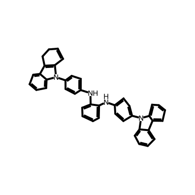 C1=Cc2c(c3ccccc3n2-c2ccc(Nc3ccccc3Nc3ccc(-n4c5ccccc5c5ccccc54)cc3)cc2)CC1